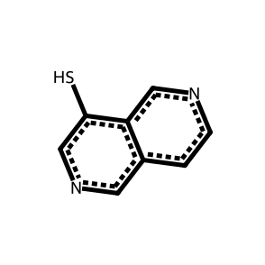 Sc1cncc2ccncc12